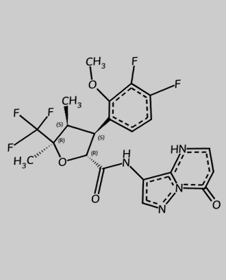 COc1c([C@H]2[C@H](C(=O)Nc3cnn4c(=O)cc[nH]c34)O[C@@](C)(C(F)(F)F)[C@H]2C)ccc(F)c1F